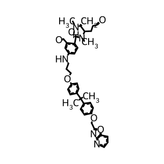 C=C(NC)C(CCC=O)N(C)C(=O)c1ccc(NCCCOc2ccc(C(C)(C)c3ccc(OCc4nc5ncccc5o4)cc3)cc2)cc1C=O